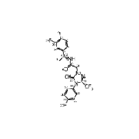 Cc1ccc([C@H](C)NC(=O)Cn2nc(C(F)(F)F)n(-c3ccc(F)cc3)c2=O)cc1F